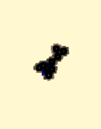 c1ccc2c(-c3nc4ccccc4s3)c(-n3c4ccccc4c4cc(-c5ccc6c7ccccc7c7ccccc7c6c5)ccc43)ccc2c1